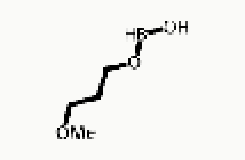 COCCCOBO